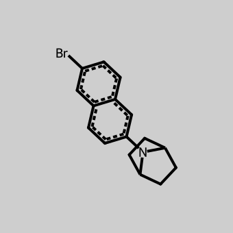 Brc1ccc2cc(N3C4CCC3CC4)ccc2c1